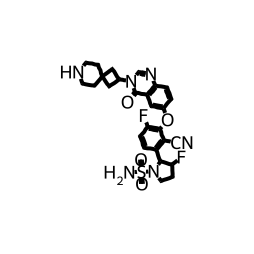 N#Cc1c(C2C(F)CCN2S(N)(=O)=O)ccc(F)c1Oc1ccc2ncn(C3CC4(CCNCC4)C3)c(=O)c2c1